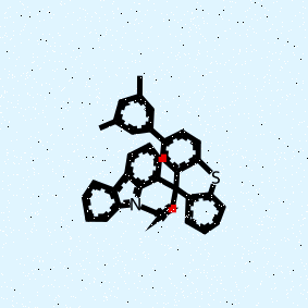 Cc1cc(C)cc(-c2ccc3c(c2)C2(c4ccccc4S3)c3ccccc3-n3c4ccccc4c4cccc2c43)c1